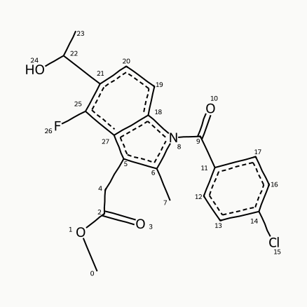 COC(=O)Cc1c(C)n(C(=O)c2ccc(Cl)cc2)c2ccc(C(C)O)c(F)c12